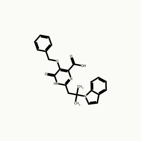 CC(C)(Cc1nc(C(=O)O)c(OCc2ccccc2)c(=O)[nH]1)n1ccc2ccccc21